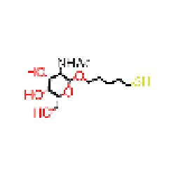 CC(=O)N[C@@H]1[C@@H](OCCCCCS)O[C@H](CO)[C@H](O)[C@@H]1O